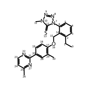 CCc1cccc(-n2nnn(C)c2=S)c1COc1ccc(-c2nccc(C)n2)cc1C